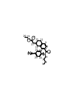 CCCCN(C(=O)c1ccc2c(c1)CC(CC(=O)OCC)CC2)c1ccc(C#N)cc1